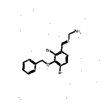 NC/N=C/c1ccc(Br)c(OCc2ccccc2)c1Br